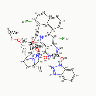 COCOC[C@@H]1Oc2nc(-c3cccc4ccc(F)c(C#C[Si](C(C)C)(C(C)C)C(C)C)c34)c(F)c3nc(On4nnc5ccccc54)nc(c23)N2C[C@H]3CC[C@@H]([C@@H]12)N3C(=O)OC(C)(C)C